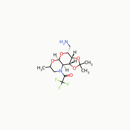 CC1CN(C(=O)C(F)(F)F)[C@H]2[C@@H](O1)O[C@H](CN)[C@@H]1OC(C)(C)O[C@@H]12